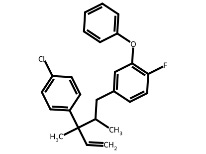 C=CC(C)(c1ccc(Cl)cc1)C(C)Cc1ccc(F)c(Oc2ccccc2)c1